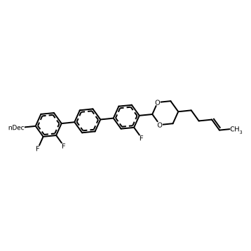 C/C=C/CCC1COC(c2ccc(-c3ccc(-c4ccc(CCCCCCCCCC)c(F)c4F)cc3)cc2F)OC1